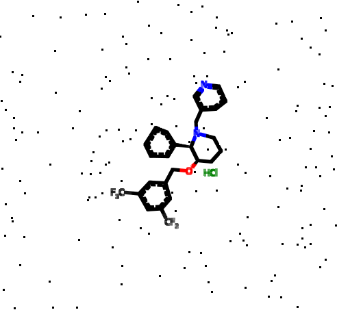 Cl.FC(F)(F)c1cc(CO[C@@H]2CCCN(Cc3cccnc3)[C@@H]2c2ccccc2)cc(C(F)(F)F)c1